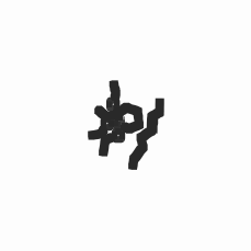 CCC=CCCCC.CCOC1(CC)CCCC[Si]1(OCC)OCC